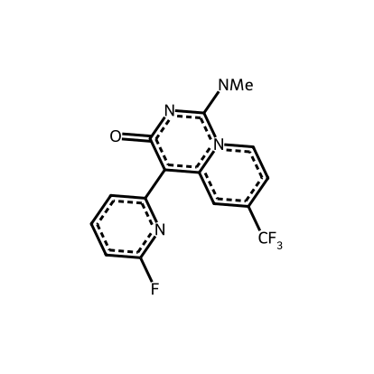 CNc1nc(=O)c(-c2cccc(F)n2)c2cc(C(F)(F)F)ccn12